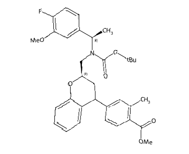 COC(=O)c1ccc(C2C[C@H](CN(C(=O)OC(C)(C)C)[C@H](C)c3ccc(F)c(OC)c3)Oc3ccccc32)cc1C